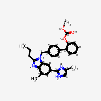 CCCc1nc2c(C)cc(-c3nc(C)c[nH]3)cc2n1Cc1ccc(-c2ccccc2OC(=O)OC)cc1